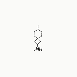 CNC1CC2(CCC(C)CC2)C1